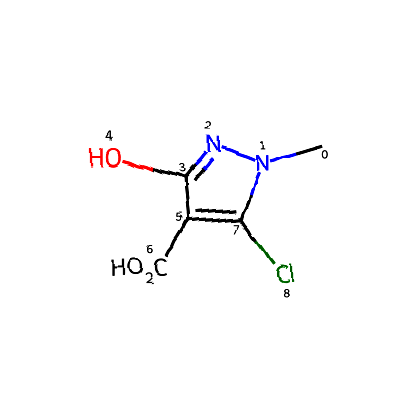 Cn1nc(O)c(C(=O)O)c1Cl